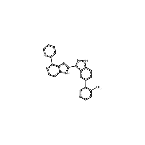 Cc1ccncc1-c1ccc2[nH]nc(-c3nc4c(-c5ccccn5)nccc4[nH]3)c2c1